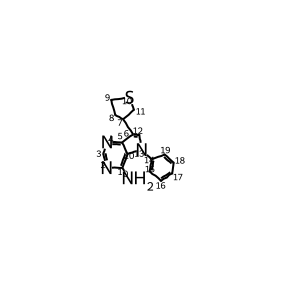 Nc1ncnc2c(C3CCSC3)cn(-c3ccccc3)c12